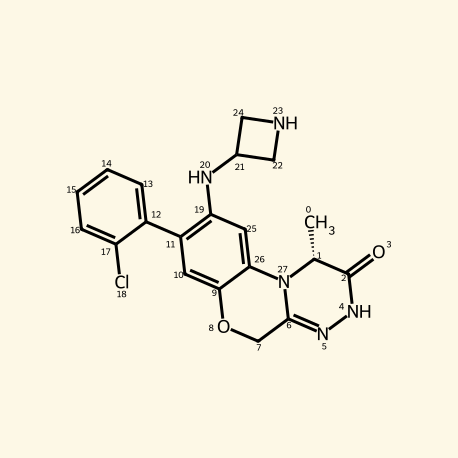 C[C@@H]1C(=O)NN=C2COc3cc(-c4ccccc4Cl)c(NC4CNC4)cc3N21